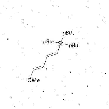 CCC[CH2][Sn]([CH]=CC=COC)([CH2]CCC)[CH2]CCC